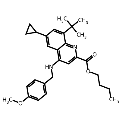 CCCCOC(=O)c1cc(NCc2ccc(OC)cc2)c2cc(C3CC3)cc(C(C)(C)C)c2n1